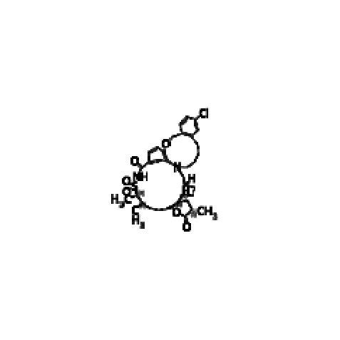 C[C@@H]1CCC[C@]2(C[C@H](C)C(=O)O2)[C@@H]2CC[C@H]2CN2CCCCc3cc(Cl)ccc3COc3ccc(cc32)C(=O)NS(=O)(=O)[C@@H]1C